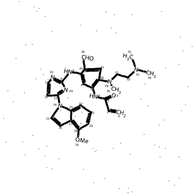 C=CC(=O)Nc1cc(Nc2nccc(-n3ccc4c(OC)cccc43)n2)c(C=O)cc1N(C)CCN(C)C